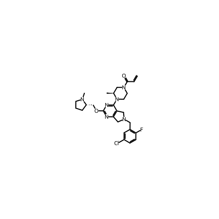 C=CC(=O)N1CCN(c2nc(OC[C@@H]3CCCN3C)nc3c2CN(Cc2cc(Cl)ccc2F)C3)[C@@H](C)C1